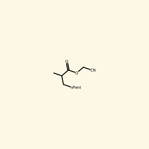 CCCCCCC(C)C(=O)OCC#N